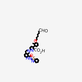 Cc1c(OCCCCCCC=O)cccc1-c1ccc(N2CCc3cccc(C(=O)Nc4nc5ccccc5s4)c3C2)nc1C(=O)O